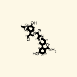 Cc1nc2c3c(cc(O)c2o1)N(C(=O)c1cn2cc(-c4cc(O)ccc4C(N)=O)ccc2n1)CC3CCl